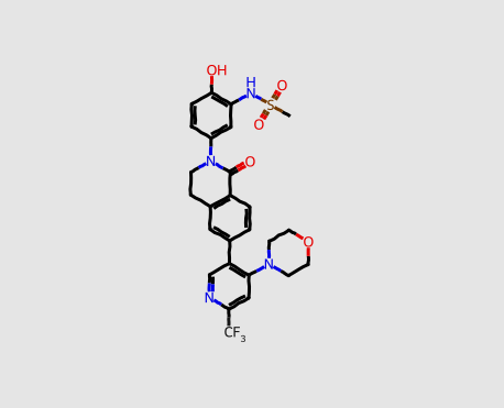 CS(=O)(=O)Nc1cc(N2CCc3cc(-c4cnc(C(F)(F)F)cc4N4CCOCC4)ccc3C2=O)ccc1O